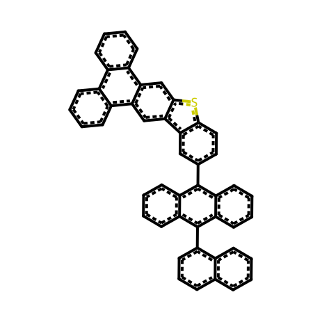 c1ccc2c(-c3c4ccccc4c(-c4ccc5sc6cc7c8ccccc8c8ccccc8c7cc6c5c4)c4ccccc34)cccc2c1